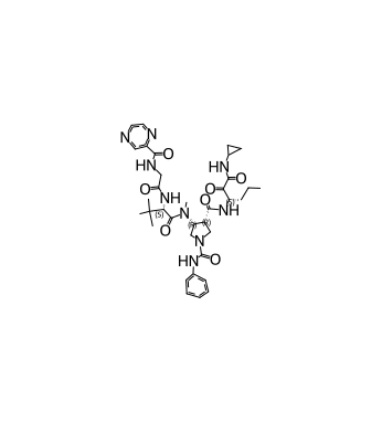 CCC[C@H](NC(=O)[C@@H]1CN(C(=O)Nc2ccccc2)C[C@@H]1N(C)C(=O)[C@@H](NC(=O)CNC(=O)c1cnccn1)C(C)(C)C)C(=O)C(=O)NC1CC1